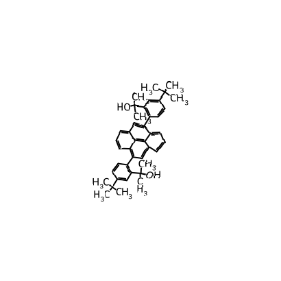 CC(C)(C)c1ccc(-c2cc3cccc4c(-c5ccc(C(C)(C)C)cc5C(C)(C)O)cc5cccc2c5c34)c(C(C)(C)O)c1